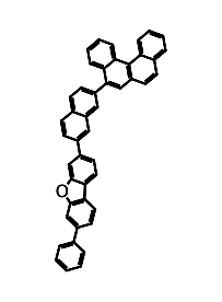 c1ccc(-c2ccc3c(c2)oc2cc(-c4ccc5ccc(-c6cc7ccc8ccccc8c7c7ccccc67)cc5c4)ccc23)cc1